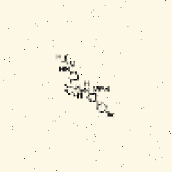 C=CC(=O)Nc1cccc(-c2nccc3cnc(Nc4ccc(N5CCN(C(C)=O)CC5)cc4OC)nc23)c1